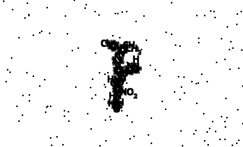 CC1(C)CCC(CN2CCN(c3ccc(C(=O)NS(=O)(=O)c4ccc(NCC5[C@H]6COC[C@@H]56)c([N+](=O)[O-])c4)c(Oc4cnc5[nH]ccc5c4)c3)CC2)=C(c2ccc(Cl)cc2)C1